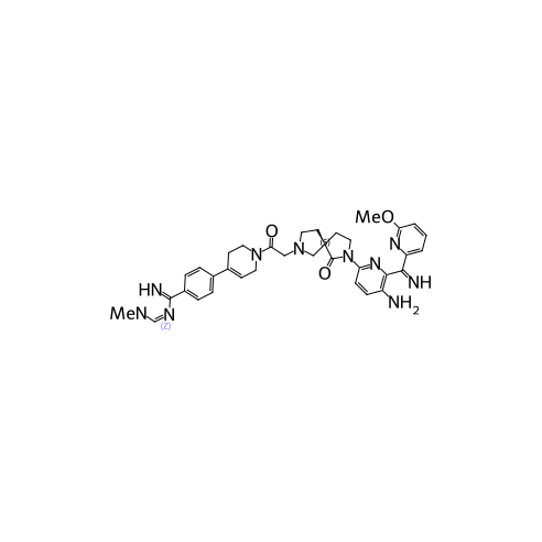 CN/C=N\C(=N)c1ccc(C2=CCN(C(=O)CN3CC[C@]4(CCN(c5ccc(N)c(C(=N)c6cccc(OC)n6)n5)C4=O)C3)CC2)cc1